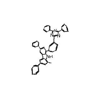 Cc1cc(-c2ccccc2)cc2c1[nH]c1c(-c3cccc(-c4nc(-c5ccccc5)nc(-c5ccccc5)n4)c3)cc(-c3ccccc3)cc12